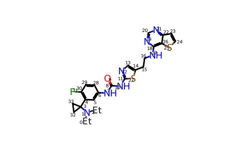 CCN(CC)C1(c2cc(NC(=O)Nc3ncc(CCNc4ncnc5ccsc45)s3)ccc2F)CC1